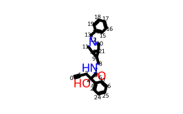 C#CCC(O)(C(=O)NCC1C2CN(Cc3ccccc3)CC12)c1ccccc1